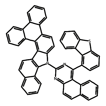 c1ccc2c(c1)ccc1nc(-n3c4ccc5c6ccccc6c6ccccc6c5c4c4ccc5ccccc5c43)nc(-c3cccc4sc5ccccc5c34)c12